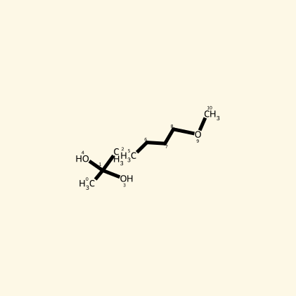 CC(C)(O)O.CCCCOC